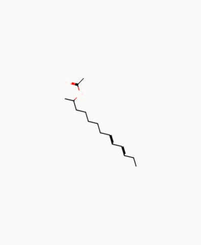 CC/C=C/C=C/CCCCCC(C)OC(C)=O